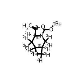 [2H]C(=C)[C@@]1([2H])N(C(=O)OC(C)(C)C)C([2H])([2H])[C@@]([2H])(C([2H])([2H])[2H])C([2H])([2H])C1([2H])[2H]